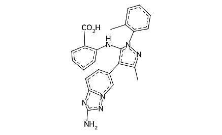 Cc1ccccc1-n1nc(C)c(-c2ccc3nc(N)nn3c2)c1Nc1ccccc1C(=O)O